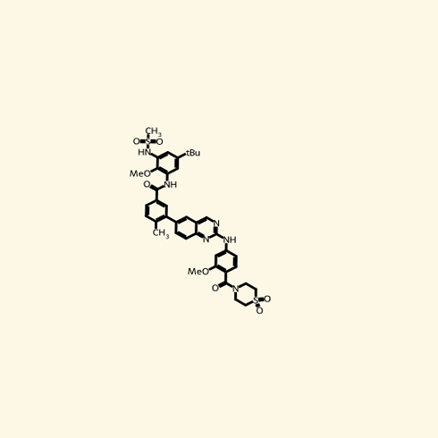 COc1cc(Nc2ncc3cc(-c4cc(C(=O)Nc5cc(C(C)(C)C)cc(NS(C)(=O)=O)c5OC)ccc4C)ccc3n2)ccc1C(=O)N1CCS(=O)(=O)CC1